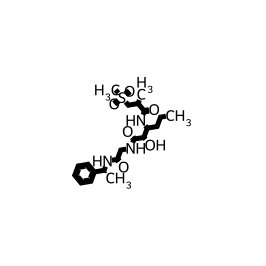 CCCC(NC(=O)C(C)CS(C)(=O)=O)C(O)C(=O)NCC(=O)N[C@H](C)c1ccccc1